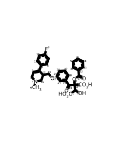 CN1CC=C(c2ccc(F)cc2)C(CO)C1.O=C(OC(C(=O)O)(C(=O)c1ccccc1)C(O)C(=O)O)c1ccccc1